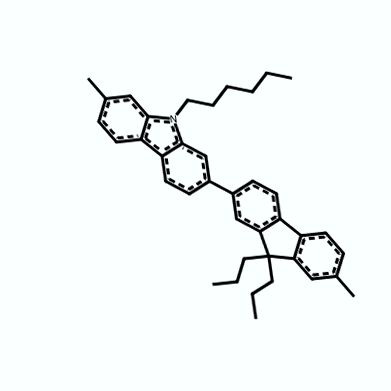 CCCCCCn1c2cc(C)ccc2c2ccc(-c3ccc4c(c3)C(CCC)(CCC)c3cc(C)ccc3-4)cc21